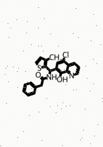 Cc1ccsc1C(NC(=O)Cc1ccccc1)c1cc(Cl)c2cccnc2c1O